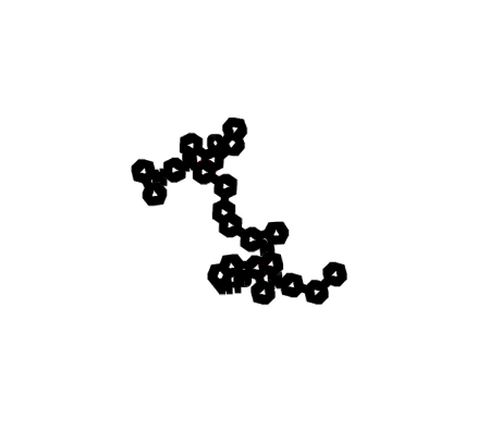 C1=Cc2ccc3c(oc4c(-c5ccccc5N(c5ccc(-c6cccc(-c7ccccc7)c6)cc5)c5ccc(-n6c7ccccc7c7cc(-c8ccc9ccc(-c%10cccc(-c%11ccc(N(c%12ccc(-n%13c%14ccccc%14c%14ccccc%14%13)cc%12)c%12ccccc%12-c%12cccc%13c%12oc%12c%14ccccc%14ccc%13%12)cc%11)c%10)cc9c8)ccc76)cc5)cccc43)c2[C@@H]2C=C12